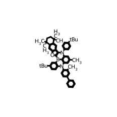 Cc1cc2c3c(c1)N(c1ccc(C(C)(C)C)cc1)c1c(oc4cc5c(cc14)C(C)(C)CCC5(C)C)B3c1cc(C(C)(C)C)ccc1N2c1ccc(-c2ccccc2)cc1C